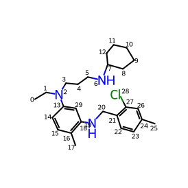 CCN(CCCNC1CCCCC1)c1ccc(C)c(NCc2ccc(C)cc2Cl)c1